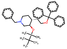 CC(C)(C)[Si](C)(C)O[C@H]1CN(Cc2ccccc2)CC[C@@H]1CCOC(c1ccccc1)(c1ccccc1)c1ccccc1